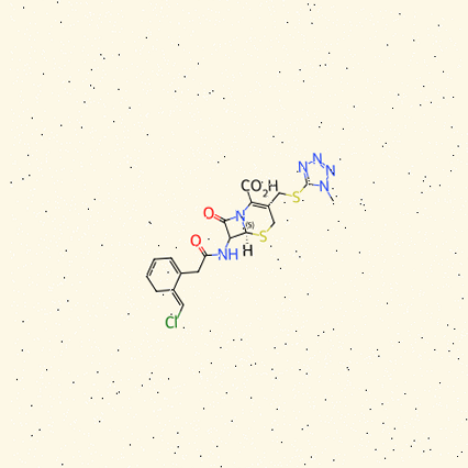 Cn1nnnc1SCC1=C(C(=O)O)N2C(=O)C(NC(=O)CC3=CC=CCC3=CCl)[C@@H]2SC1